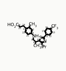 Cc1cc(NCC(C)c2sc(-c3ccc(C(F)(F)F)cc3)nc2C(C)C)ccc1CCC(=O)O